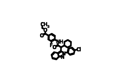 CCOC(=O)c1ccc(NC(=O)C(c2c3ccccc3nn2-c2ccc(Cl)cc2)C2CCCCC2)c(F)c1